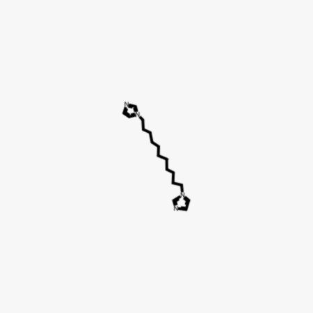 [CH](CCCCCCn1ccnc1)CCCCn1ccnc1